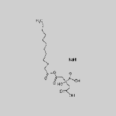 CCCCCCCCCCCC(=O)OC(=O)CC(O)(CC(=O)O)C(=O)O.[NaH]